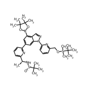 C[C@H](N[S@+]([O-])C(C)(C)C)c1cccc(-c2cc(B3OC(C)(C)C(C)(C)O3)c3cnn(-c4cccc(CO[Si](C)(C)C(C)(C)C)n4)c3c2)n1